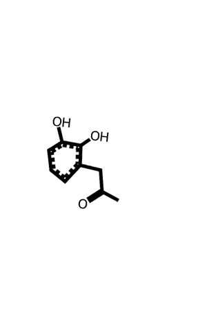 CC(=O)Cc1cccc(O)c1O